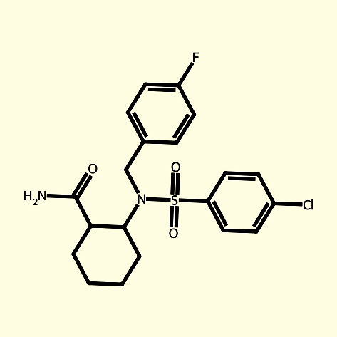 NC(=O)C1CCCCC1N(Cc1ccc(F)cc1)S(=O)(=O)c1ccc(Cl)cc1